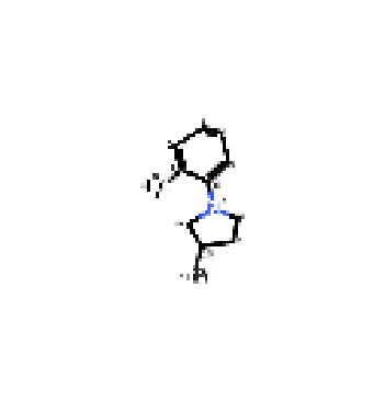 Cc1ccccc1N1CCC(C(C)C)C1